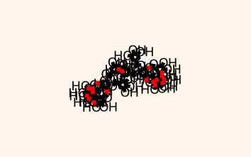 O=C(O[C@H]1O[C@@H]2COC(=O)c3cc(O)c(O)c(O)c3-c3c(cc(O)c(O)c3O)C(=O)O[C@H]([C@H]1OC(=O)c1cc(O)c(O)c(O)c1)[C@@H]2OC(=O)c1cc(O)c(O)c(O)c1)c1cc(O)c(O)c(Oc2c(C(=O)O[C@H]3[C@@H](OC(=O)c4cc(O)c(O)c(O)c4)O[C@@H]4COC(=O)c5cc(O)c(O)c(O)c5-c5c(cc(O)c(O)c5O)C(=O)O[C@H]3[C@@H]4OC(=O)c3cc(O)c(O)c(O)c3)cc(O)c(O)c2O)c1